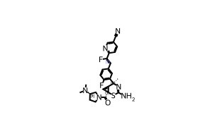 CN(C)[C@@H]1CCN(C(=O)[C@]23C=C2[C@@](C)(c2cc(/C=C(\F)c4ccc(C#N)cn4)ccc2F)N=C(N)S3)C1